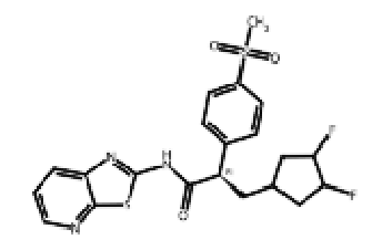 CS(=O)(=O)c1ccc([C@@H](CC2CC(F)C(F)C2)C(=O)Nc2nc3cccnc3s2)cc1